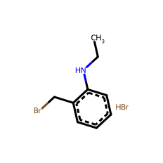 Br.CCNc1ccccc1CBr